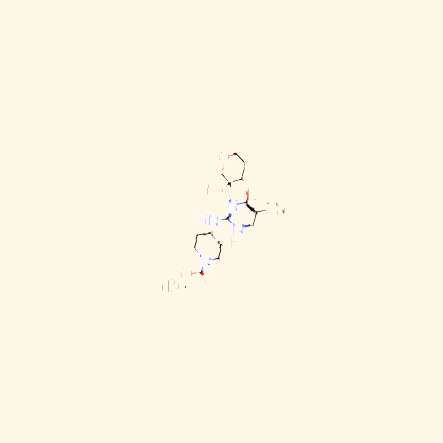 CC(C)(C)OC(=O)N1CC[C@H](Nc2ncc(C#N)c(OC3CCOCC3(C)O)n2)[C@H](F)C1